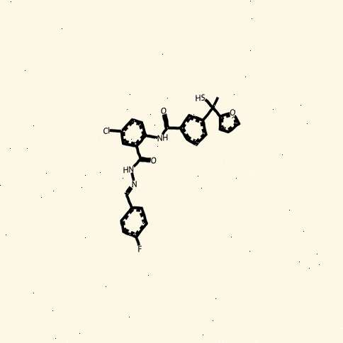 CC(S)(c1cccc(C(=O)Nc2ccc(Cl)cc2C(=O)N/N=C/c2ccc(F)cc2)c1)c1ccco1